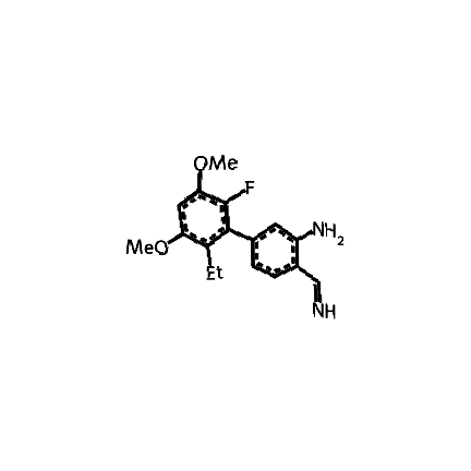 CCc1c(OC)cc(OC)c(F)c1-c1ccc(C=N)c(N)c1